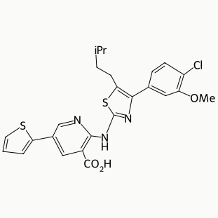 COc1cc(-c2nc(Nc3ncc(-c4cccs4)cc3C(=O)O)sc2CCC(C)C)ccc1Cl